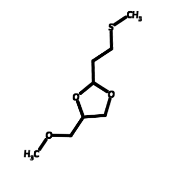 COCC1COC(CCSC)O1